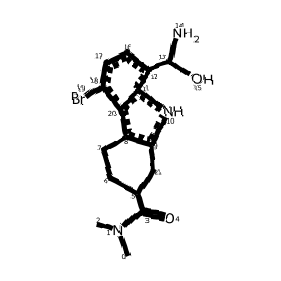 CN(C)C(=O)C1CCc2c([nH]c3c(C(N)O)ccc(Br)c23)C1